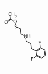 CC(=O)OSCCNCCCc1c(F)cccc1F